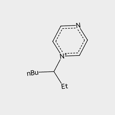 CCCCC(CC)[n+]1ccncc1